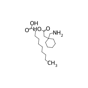 CCCCCCCCCC(=O)O.NCC1(CC(=O)O)CCCCC1